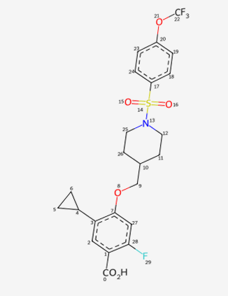 O=C(O)c1cc(C2CC2)c(OCC2CCN(S(=O)(=O)c3ccc(OC(F)(F)F)cc3)CC2)cc1F